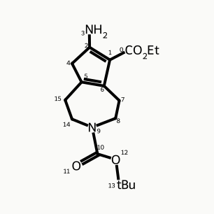 CCOC(=O)C1=C(N)CC2=C1CCN(C(=O)OC(C)(C)C)CC2